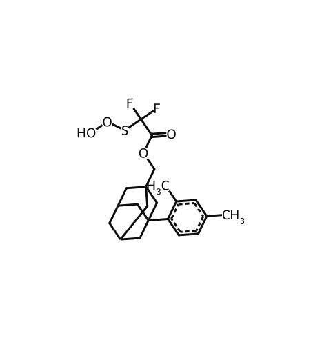 Cc1ccc(C23CC4CC(CC(COC(=O)C(F)(F)SOO)(C4)C2)C3)c(C)c1